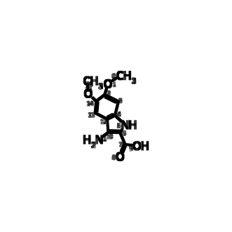 COc1cc2[nH]c(C(=O)O)c(N)c2cc1OC